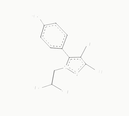 Cc1ccc(-c2c(C)c(O)nn2CC(C)C)cc1